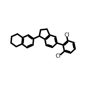 Clc1[c]ccc(Cl)c1-c1ccc2c(c1)CCC2c1ccc2c(c1)CCCC2